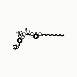 CCCCCCCCCCCCOc1cccc(OCC(COP(=O)(O)Oc2ccc(CN3C=CSC3)cc2)OCC)c1C